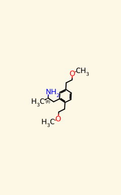 COCCc1ccc(CCOC)c(C[C@@H](C)N)c1